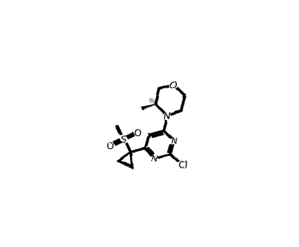 C[C@H]1COCCN1c1cc(C2(S(C)(=O)=O)CC2)nc(Cl)n1